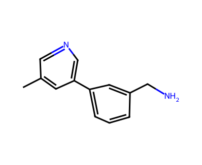 Cc1cncc(-c2cccc(CN)c2)c1